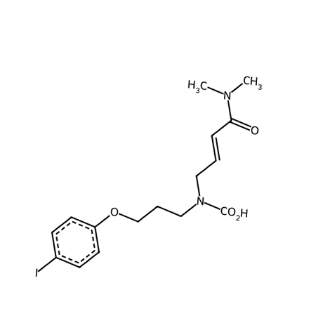 CN(C)C(=O)/C=C/CN(CCCOc1ccc(I)cc1)C(=O)O